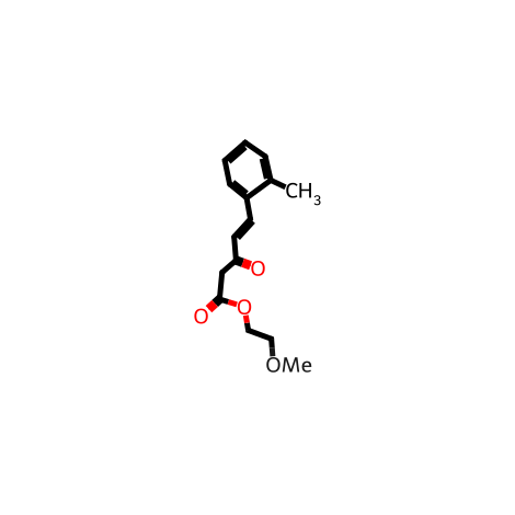 COCCOC(=O)CC(=O)C=Cc1ccccc1C